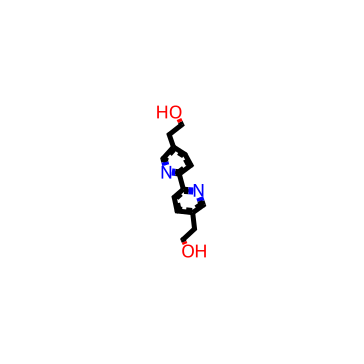 OCCc1ccc(-c2ccc(CCO)cn2)nc1